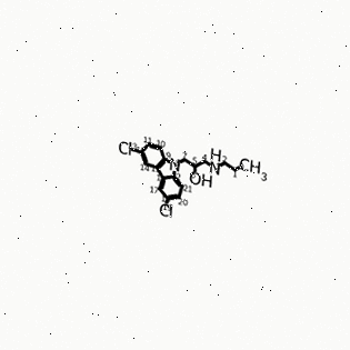 CCCNCC(O)Cn1c2ccc(Cl)cc2c2cc(Cl)ccc21